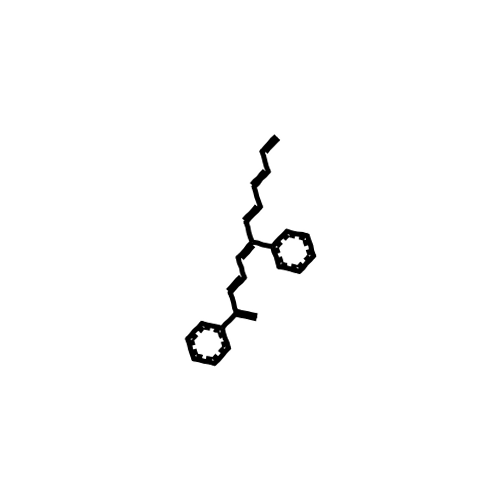 C=CC=CC=CC(=CC=CC(=C)c1ccccc1)c1ccccc1